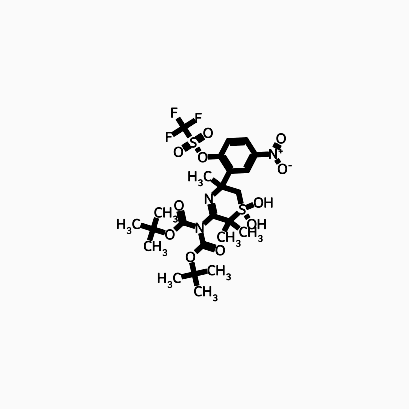 CC(C)(C)OC(=O)N(C(=O)OC(C)(C)C)C1=NC(C)(c2cc([N+](=O)[O-])ccc2OS(=O)(=O)C(F)(F)F)CS(O)(O)C1(C)C